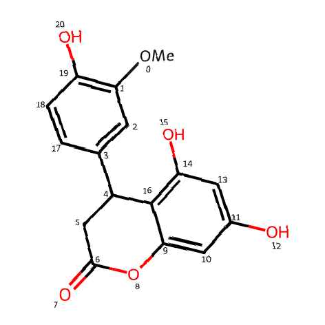 COc1cc(C2CC(=O)Oc3cc(O)cc(O)c32)ccc1O